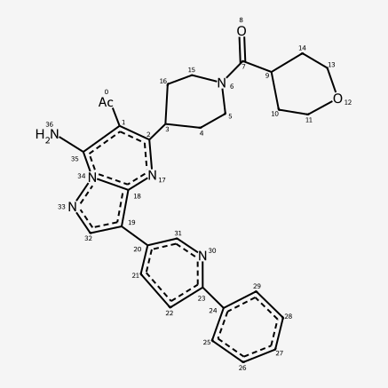 CC(=O)c1c(C2CCN(C(=O)C3CCOCC3)CC2)nc2c(-c3ccc(-c4ccccc4)nc3)cnn2c1N